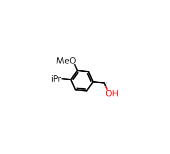 COc1cc([CH]O)ccc1C(C)C